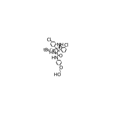 CC(C)(C)C[C@H]1N[C@H](C(=O)Nc2ccc(OCCO)cc2)[C@@H](c2cccc(Cl)c2F)[C@@]12C(=O)Nc1cc(Cl)ccc12